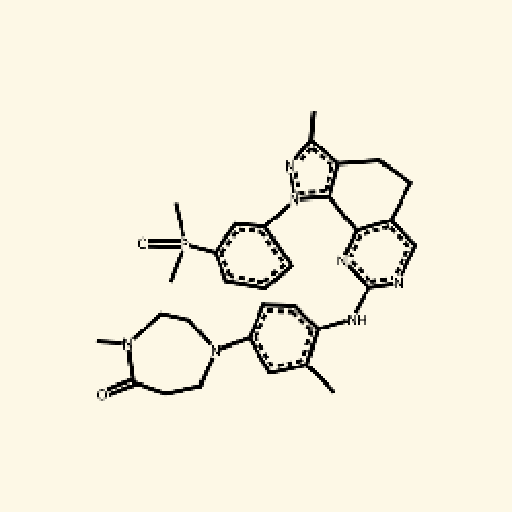 Cc1cc(N2CCC(=O)N(C)CC2)ccc1Nc1ncc2c(n1)-c1c(c(C)nn1-c1cccc(P(C)(C)=O)c1)CC2